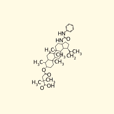 C=C(C)[C@@H]1CC[C@]2(NC(=O)Nc3ccccc3)CC[C@]3(C)C(CCC4C5(C)CCC(OC(=O)CC(C)(C)C(=O)O)C(C)C5CCC43C)C12